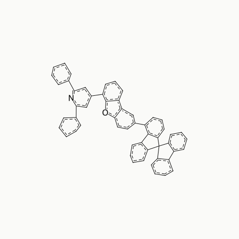 c1ccc(-c2cc(-c3cccc4c3oc3ccc(-c5cccc6c5-c5ccccc5C65c6ccccc6-c6ccccc65)cc34)cc(-c3ccccc3)n2)cc1